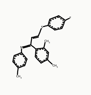 Cc1ccc(N=C(C=CSc2ccc(F)cc2)c2ccc(C)cc2C)cc1